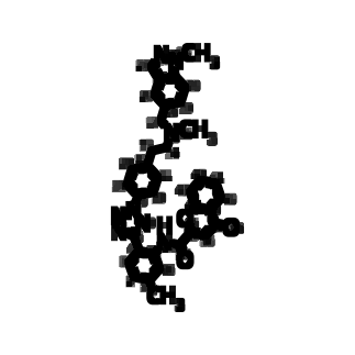 Cc1ccc(-c2nnn(-c3ccc(CCN(C)Cc4ccc5c(cnn5C)c4)cc3)n2)c(NC(=O)c2cc(=O)c3ccccc3o2)c1